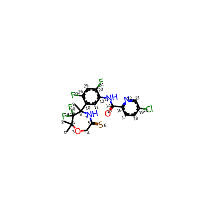 CC1(C)OCC(=S)NC(C)(c2cc(NC(=O)c3ccc(Cl)cn3)c(F)cc2F)C1(F)F